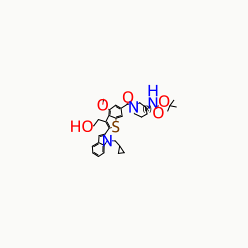 COc1cc(C(=O)N2CCC[C@@H](NC(=O)OC(C)(C)C)C2)cc2sc(-c3cc4ccccc4n3CC3CC3)c(CCO)c12